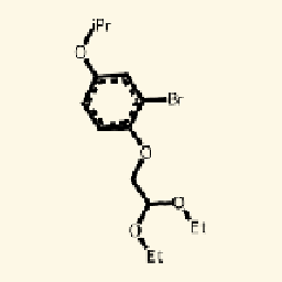 CCOC(COc1ccc(OC(C)C)cc1Br)OCC